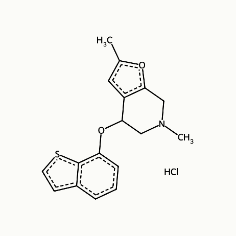 Cc1cc2c(o1)CN(C)CC2Oc1cccc2ccsc12.Cl